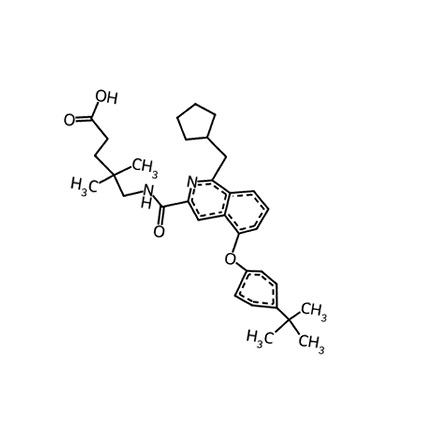 CC(C)(CCC(=O)O)CNC(=O)c1cc2c(Oc3ccc(C(C)(C)C)cc3)cccc2c(CC2CCCC2)n1